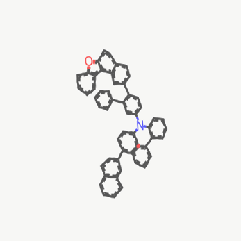 c1ccc(-c2cc(N(c3ccc(-c4ccc5ccccc5c4)cc3)c3ccccc3-c3ccccc3)ccc2-c2ccc3ccc4oc5ccccc5c4c3c2)cc1